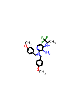 COc1ccc(CN(Cc2ccc(OC)cc2)c2nccc(NC(C)C(F)(F)F)c2N)cc1